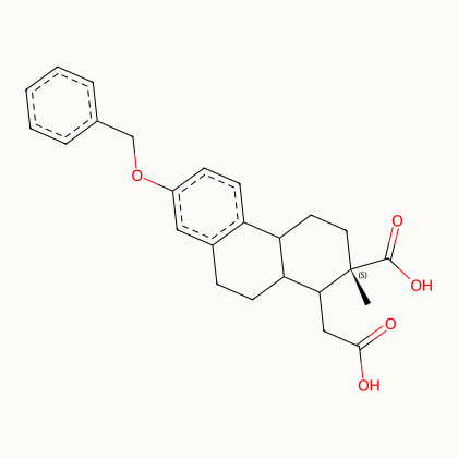 C[C@]1(C(=O)O)CCC2c3ccc(OCc4ccccc4)cc3CCC2C1CC(=O)O